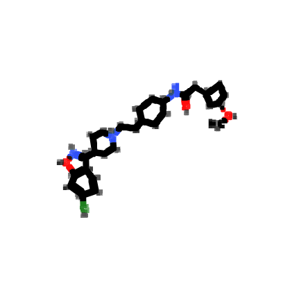 CO[C@H]1CC[C@H](CC(=O)NC2CCC(CCN3CCC(c4noc5cc(Cl)ccc45)CC3)CC2)C1